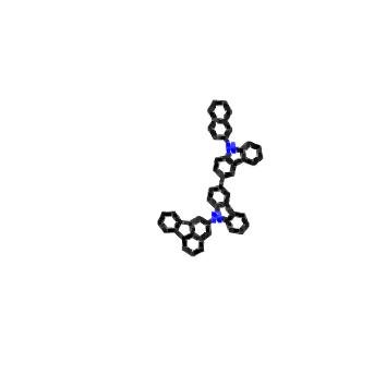 c1ccc2c(c1)-c1cccc3cc(-n4c5ccccc5c5cc(-c6ccc7c(c6)c6ccccc6n7-c6ccc7ccccc7c6)ccc54)cc-2c13